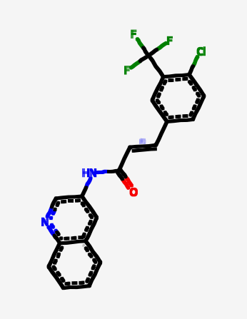 O=C(/C=C/c1ccc(Cl)c(C(F)(F)F)c1)Nc1cnc2ccccc2c1